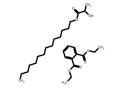 CCCCCCCCCCCCCCOC(=O)C(C)O.CCOC(=O)c1ccccc1C(=O)OCC